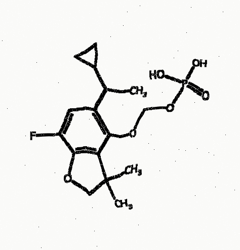 CC(c1cc(F)c2c(c1OCOP(=O)(O)O)C(C)(C)CO2)C1CC1